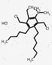 CCCCCCc1c(CCCCC)c(CCl)c(CC)c(N(C)C)c1CCl.Cl